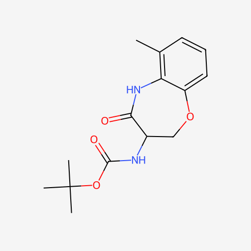 Cc1cccc2c1NC(=O)C(NC(=O)OC(C)(C)C)CO2